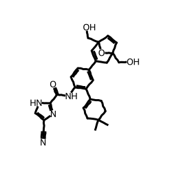 CC1(C)CC=C(c2cc(C3=CC4(CO)C=CC(CO)(C3)O4)ccc2NC(=O)c2nc(C#N)c[nH]2)CC1